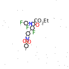 CCOC(=O)c1cn(-c2ccc(F)cc2F)c2cc(-c3ccc4c(c3)CN(S(=O)(=O)c3ccc(C)cc3)C4)c(F)cc2c1=O